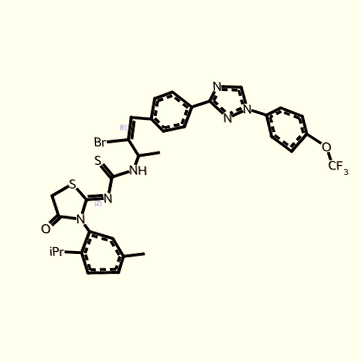 Cc1ccc(C(C)C)c(N2C(=O)CS/C2=N\C(=S)NC(C)/C(Br)=C\c2ccc(-c3ncn(-c4ccc(OC(F)(F)F)cc4)n3)cc2)c1